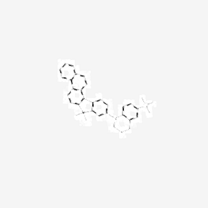 CC1(C)c2cc(N3CCCc4cc([Si](C)(C)C)ccc43)ccc2-c2c1ccc1c2ccc2ccccc21